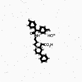 Cc1ccc(C(C(=O)NCCCN2CCC(c3ccccc3)CC2CC(=O)O)c2ccc(C)cc2)cc1.Cl